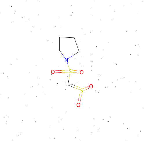 O=S(=O)=[C]S(=O)(=O)N1CCCC1